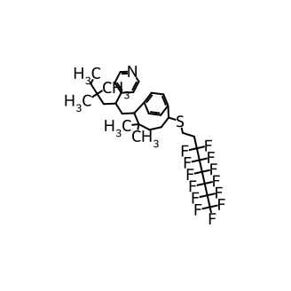 CCC(C)(C)CC(CC1c2ccc(cc2)C(SCCC(F)(F)C(F)(F)C(F)(F)C(F)(F)C(F)(F)C(F)(F)F)CCC1(C)C)c1ccncc1